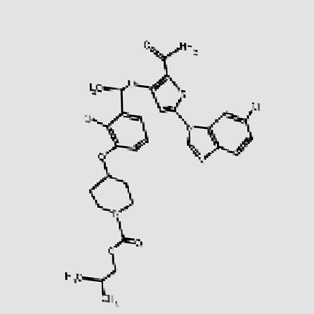 CC(C)COC(=O)N1CCC(Oc2cccc([C@@H](C)Oc3cc(-n4cnc5ccc(Cl)cc54)sc3C(N)=O)c2Cl)CC1